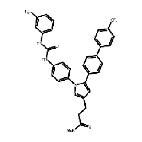 CNC(=O)CCc1cc(-c2ccc(-c3ccc(C(F)(F)F)cc3)cc2)n(-c2ccc(NC(=O)Nc3cccc(C(F)(F)F)c3)cc2)n1